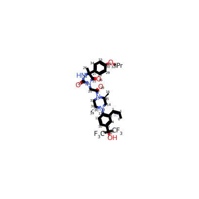 C/C=C\c1cc(C(O)(C(F)(F)F)C(F)(F)F)ccc1N1C[C@H](C)N(C(=O)CN2C(=O)NC(C)(c3ccc(OC(C)C)cc3)C2=O)C[C@H]1C